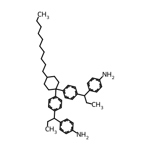 CCCCCCCCCCC1CCC(c2ccc(C(CC)c3ccc(N)cc3)cc2)(c2ccc(C(CC)c3ccc(N)cc3)cc2)CC1